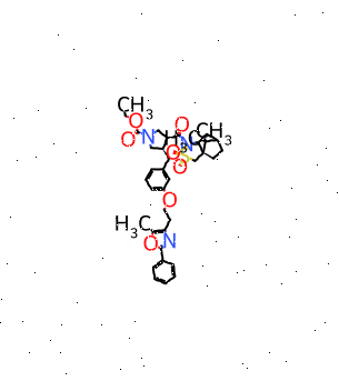 CCOC(=O)N1C[C@H](Cc2cccc(OCCc3nc(-c4ccccc4)oc3C)c2)[C@H](C(=O)N2C3CC4CC[C@]3(CS2(=O)=O)C4(C)C)C1